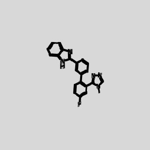 Cn1cnnc1-c1cc(F)ccc1-c1cccc(-c2nc3ccccc3[nH]2)c1